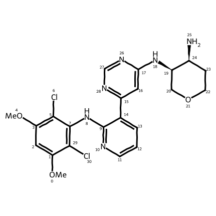 COc1cc(OC)c(Cl)c(Nc2ncccc2-c2cc(N[C@@H]3COCC[C@@H]3N)ncn2)c1Cl